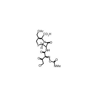 CNC(=O)ON=C(C(=O)CCl)C(=O)NC1C(=O)N2C(C(=O)O)=C(COC(C)=O)CS[C@@H]12